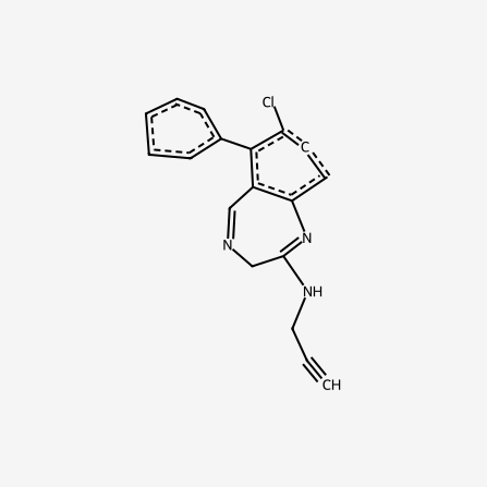 C#CCNC1=Nc2ccc(Cl)c(-c3ccccc3)c2C=NC1